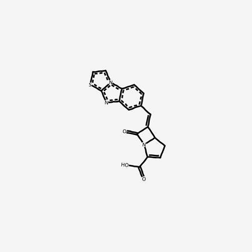 O=C(O)C1=CCC2C(=Cc3ccc4c(c3)nc3sccn34)C(=O)N12